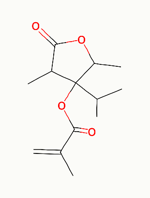 C=C(C)C(=O)OC1(C(C)C)C(C)OC(=O)C1C